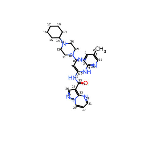 Cc1ccc(N/C(=C\C(=N)N2CCN(C3CCCCC3)CC2)NC(=O)c2cnn3cccnc23)nc1